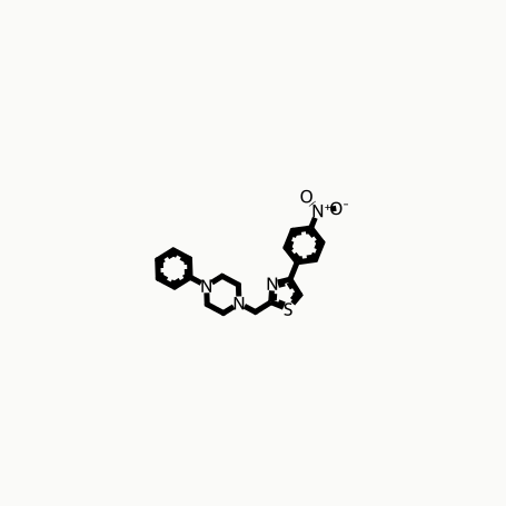 O=[N+]([O-])c1ccc(-c2csc(CN3CCN(c4ccccc4)CC3)n2)cc1